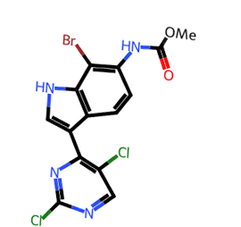 COC(=O)Nc1ccc2c(-c3nc(Cl)ncc3Cl)c[nH]c2c1Br